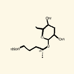 CCCCCCCCCCCC[C@@H](C)OC1OC(C)C(O)CC1O